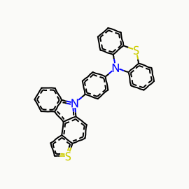 c1ccc2c(c1)Sc1ccccc1N2c1ccc(-n2c3ccccc3c3c4ccsc4ccc32)cc1